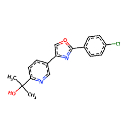 CC(C)(O)c1ccc(-c2coc(-c3ccc(Cl)cc3)n2)cn1